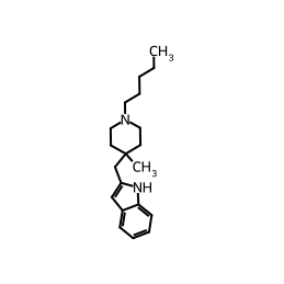 CCCCCN1CCC(C)(Cc2cc3ccccc3[nH]2)CC1